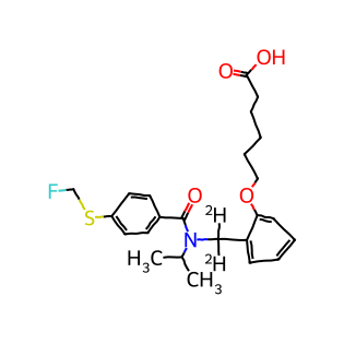 [2H]C([2H])(c1ccccc1OCCCCCC(=O)O)N(C(=O)c1ccc(SCF)cc1)C(C)C